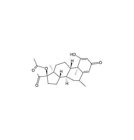 CC(=O)O[C@]1(C(C)=O)CC[C@H]2[C@@H]3CC(C)C4=CC(=O)C=C(O)[C@]4(C)[C@H]3CC[C@@]21C